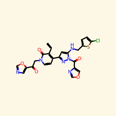 C=Cc1c(-c2cc(NCc3ccc(Cl)s3)n(C(=O)c3cocn3)n2)ccn(CC(=O)c2cnco2)c1=O